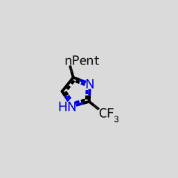 CCCCCc1c[nH]c(C(F)(F)F)n1